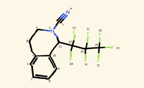 N#CN1CCc2ccccc2C1C(F)(F)C(F)(F)C(F)(F)F